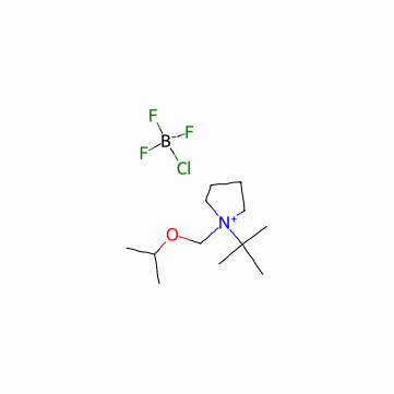 CC(C)OC[N+]1(C(C)(C)C)CCCC1.F[B-](F)(F)Cl